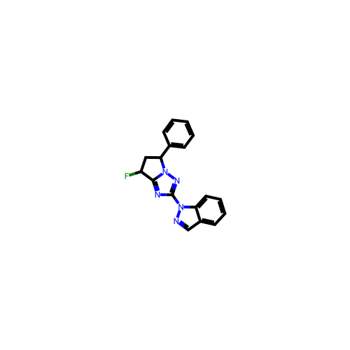 FC1CC(c2ccccc2)n2nc(-n3ncc4ccccc43)nc21